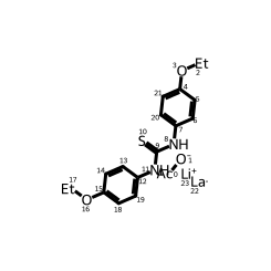 CC(=O)[O-].CCOc1ccc(NC(=S)Nc2ccc(OCC)cc2)cc1.[La].[Li+]